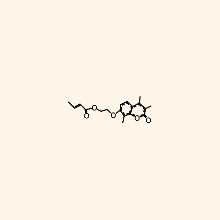 CC=CC(=O)OCCOc1ccc2c(C)c(C)c(=O)oc2c1C